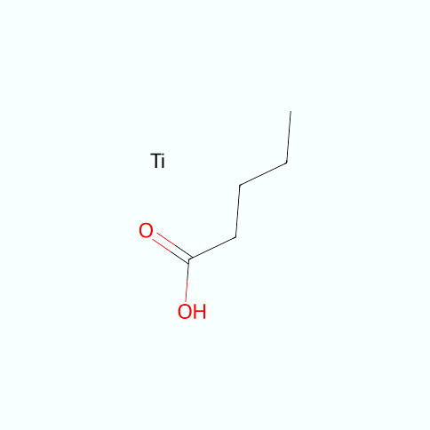 CCCCC(=O)O.[Ti]